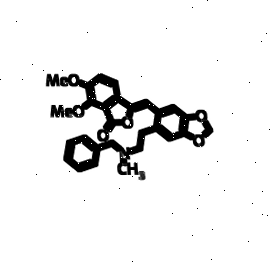 COc1ccc2c(c1OC)C(=O)OC2=Cc1cc2c(cc1CCN(C)Cc1ccccc1)OCO2